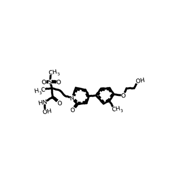 Cc1cc(-c2ccn(CCC(C)(C(=O)NO)S(C)(=O)=O)c(=O)c2)ccc1OCCO